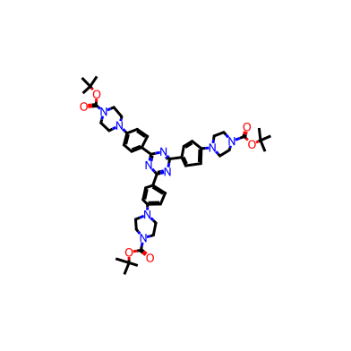 CC(C)(C)OC(=O)N1CCN(c2ccc(-c3nc(-c4ccc(N5CCN(C(=O)OC(C)(C)C)CC5)cc4)nc(-c4ccc(N5CCN(C(=O)OC(C)(C)C)CC5)cc4)n3)cc2)CC1